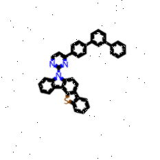 c1ccc(-c2cccc(-c3ccc(-c4ccnc(-n5c6ccccc6c6c7sc8ccccc8c7ccc65)n4)cc3)c2)cc1